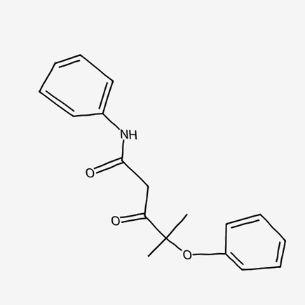 CC(C)(Oc1ccccc1)C(=O)CC(=O)Nc1ccccc1